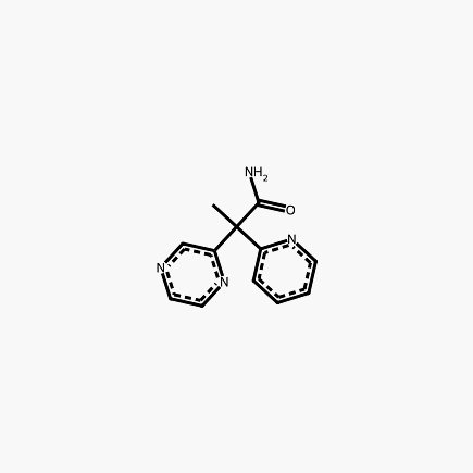 CC(C(N)=O)(c1ccccn1)c1cnccn1